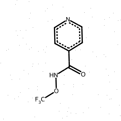 O=C(NOC(F)(F)F)c1ccncc1